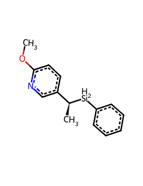 COc1ccc([C@H](C)[SiH2]c2ccccc2)cn1